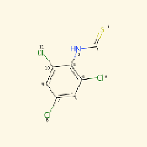 S=CNc1c(Cl)cc(Cl)cc1Cl